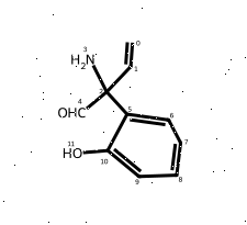 C=CC(N)(C=O)c1ccccc1O